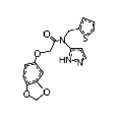 O=C(COc1ccc2c(c1)OCO2)N(Cc1cccs1)c1ccn[nH]1